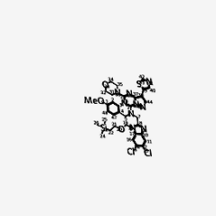 COc1ccc(CN(Cc2nc3cc(Cl)c(Cl)cc3n2COCC[Si](C)(C)C)c2nc(N3CCOCC3)nc3c(-c4cncs4)cnn23)cc1